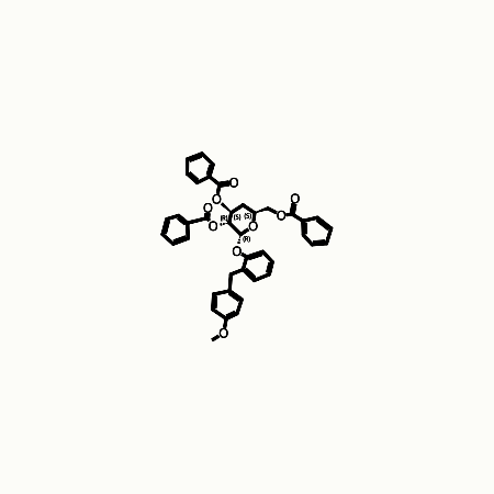 COc1ccc(Cc2ccccc2O[C@H]2O[C@H](COC(=O)c3ccccc3)C[C@H](OC(=O)c3ccccc3)[C@H]2OC(=O)c2ccccc2)cc1